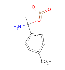 CC(N)(O[SH](=O)=O)c1ccc(C(=O)O)cc1